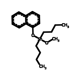 CCC[CH2][Sn]([CH2]CCC)([O]C)[O]c1cccc2ccccc12